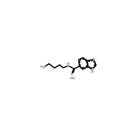 Cl.NCCCCNC(=O)c1ccc2nc[nH]c2c1